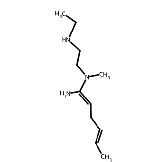 C/C=C/C/C=C(\N)N(C)CCNCC